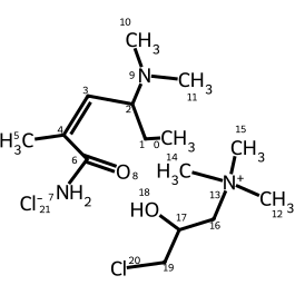 CCC(C=C(C)C(N)=O)N(C)C.C[N+](C)(C)CC(O)CCl.[Cl-]